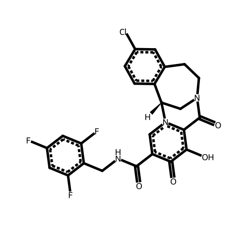 O=C(NCc1c(F)cc(F)cc1F)c1cn2c(c(O)c1=O)C(=O)N1CCc3cc(Cl)ccc3[C@@H]2C1